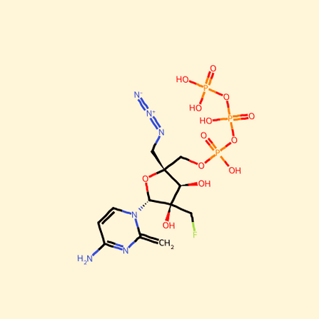 C=C1N=C(N)C=CN1[C@@H]1O[C@](CN=[N+]=[N-])(COP(=O)(O)OP(=O)(O)OP(=O)(O)O)[C@@H](O)[C@]1(O)CF